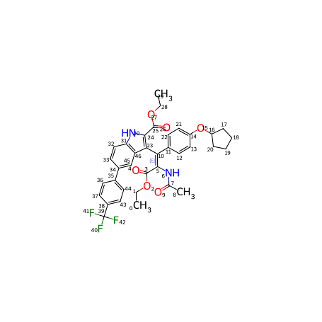 CCOC(=O)/C(NC(C)=O)=C(/c1ccc(OC2CCCC2)cc1)c1c(C(=O)OCC)[nH]c2ccc(-c3ccc(C(F)(F)F)cc3)cc12